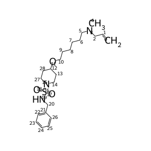 C=CCN(C)CCCCCCOC1CCN(S(=O)(=O)NCc2ccccc2)CC1